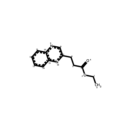 CCOC(=O)CCc1cnc2ccccc2n1